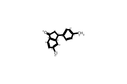 Cc1ccc(C2CC(=O)c3ccc(Cl)cc32)cc1